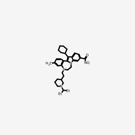 CCC(CC)N1CCCC(CCN2CCn3c(c(C4CCCCC4)c4ccc(C(=O)N=O)cc43)-c3ccc(C)cc32)C1